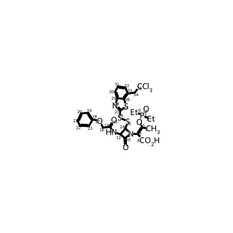 CCP(=O)(CC)OC(C)=C(C(=O)O)N1C(=O)C(NC(=O)COc2ccccc2)C1SSc1nc2cccc(CC(Cl)(Cl)Cl)c2s1